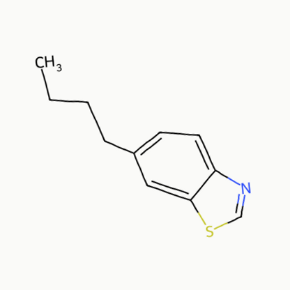 CCCCc1ccc2ncsc2c1